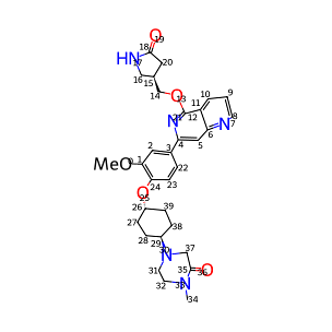 COc1cc(-c2cc3ncccc3c(OC[C@H]3CNC(=O)C3)n2)ccc1O[C@H]1CC[C@H](N2CCN(C)C(=O)C2)CC1